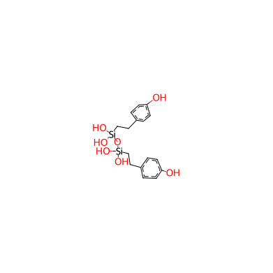 Oc1ccc(CC[Si](O)(O)O[Si](O)(O)CCc2ccc(O)cc2)cc1